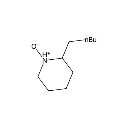 CCCCCC1CCCC[NH+]1[O-]